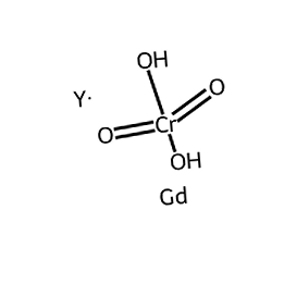 [Gd].[O]=[Cr](=[O])([OH])[OH].[Y]